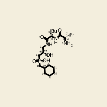 CCC(C)[C@@H](NC(=O)[C@@H](N)C(C)C)C(=O)NC[C@@H](O)CP(=O)(O)CC1CCCCC1